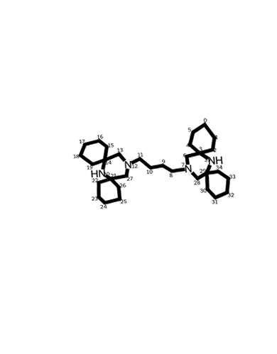 C1CCC2(CC1)CN(CCCCN1CC3(CCCCC3)NC3(CCCCC3)C1)CC1(CCCCC1)N2